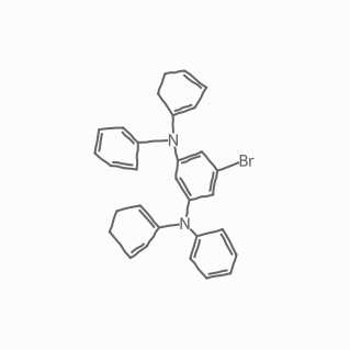 Brc1cc(N(C2=CCCC=C2)c2ccccc2)cc(N(C2=CC=CCC2)c2ccccc2)c1